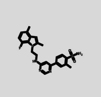 Cc1cc(-c2cc(NCCn3c(C)cc4c(C)ccc(F)c43)ncn2)ccc1S(N)(=O)=O